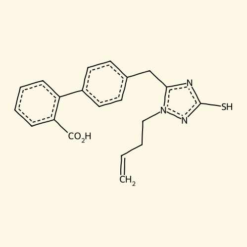 C=CCCn1nc(S)nc1Cc1ccc(-c2ccccc2C(=O)O)cc1